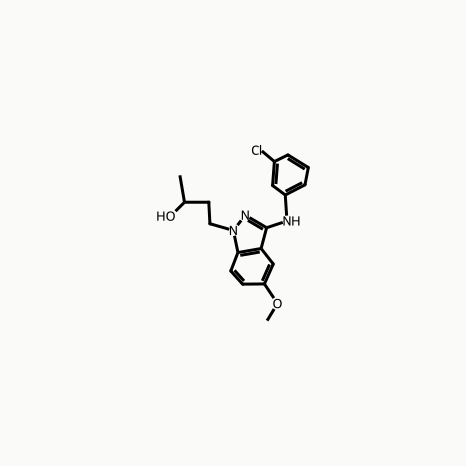 COc1ccc2c(c1)c(Nc1cccc(Cl)c1)nn2CCC(C)O